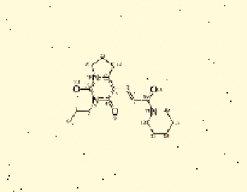 CCCn1c(=O)c(/C=C/C(=O)N2CCCCC2)c2n(c1=O)CCS2